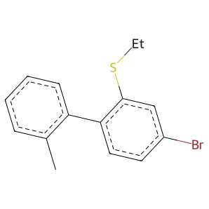 CCSc1cc(Br)ccc1-c1ccccc1C